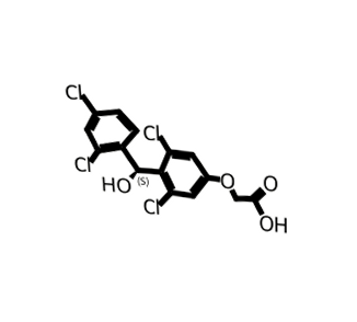 O=C(O)COc1cc(Cl)c([C@@H](O)c2ccc(Cl)cc2Cl)c(Cl)c1